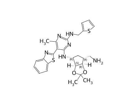 Cc1nc(NCc2cccs2)nc(N[C@@H]2C[C@H](CN)[C@H]3OC(C)(C)O[C@H]32)c1-c1nc2ccccc2s1